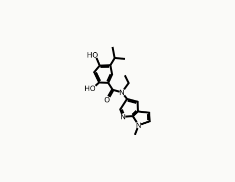 CCN(C(=O)c1cc(C(C)C)c(O)cc1O)c1cnc2c(ccn2C)c1